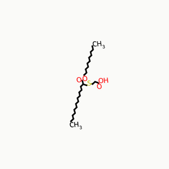 CCCCCCCCCCCCCCC(CSCCC(=O)O)C(=O)OCCCCCCCCCCCC